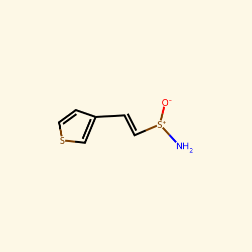 N[S+]([O-])/C=C/c1ccsc1